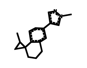 CC1CC12CCCc1cc(-c3cnn(C)c3)ccc12